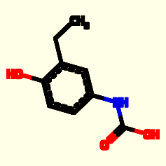 CCc1cc(NC(=O)O)ccc1O